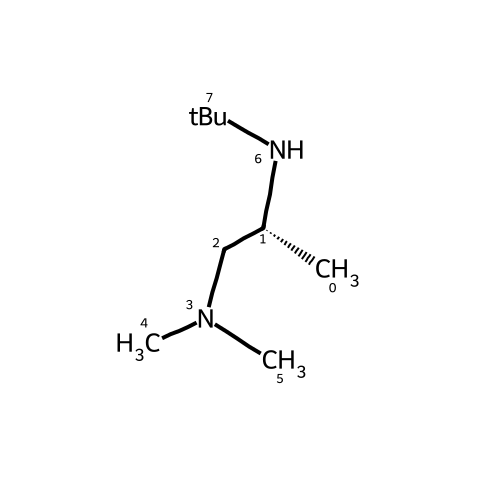 C[C@H](CN(C)C)NC(C)(C)C